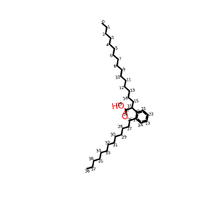 CCCCCCCCCCCCCCCCC(C(=O)O)c1ccccc1CCCCCCCCCCCCC